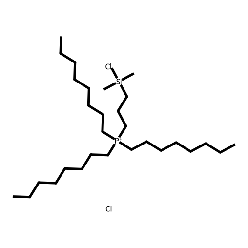 CCCCCCCC[P+](CCCCCCCC)(CCCCCCCC)CCC[Si](C)(C)Cl.[Cl-]